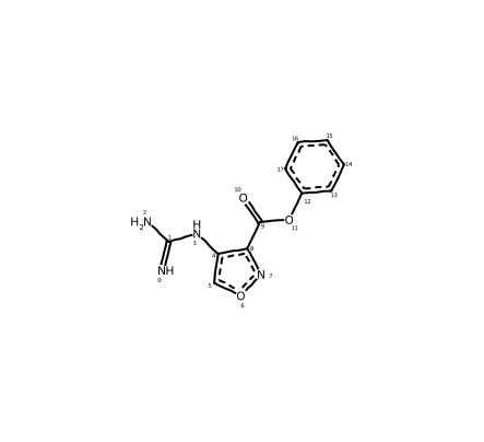 N=C(N)Nc1conc1C(=O)Oc1ccccc1